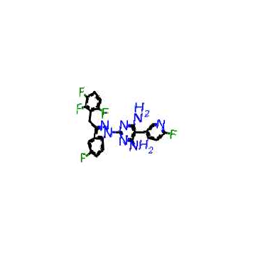 Nc1nc(-n2nc(Cc3c(F)ccc(F)c3F)c3cc(F)ccc32)nc(N)c1-c1ccc(F)nc1